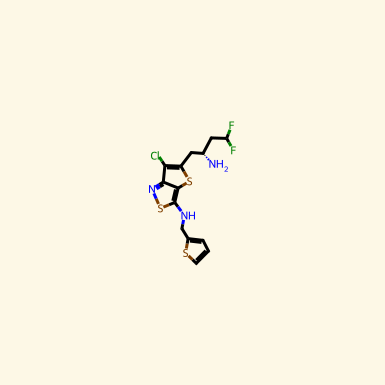 N[C@H](Cc1sc2c(NCc3cccs3)snc2c1Cl)CC(F)F